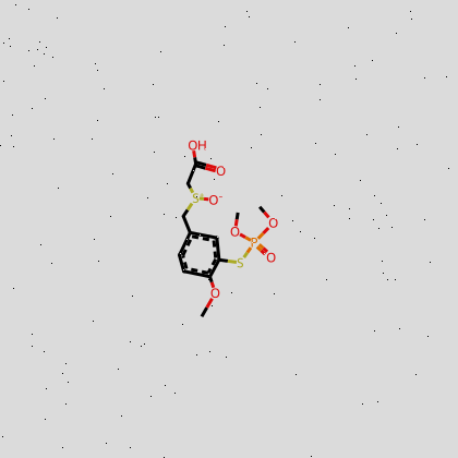 COc1ccc(C[S+]([O-])CC(=O)O)cc1SP(=O)(OC)OC